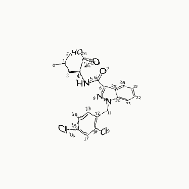 CC(C)C[C@H](NC(=O)c1nn(Cc2ccc(Cl)cc2Cl)c2ccccc12)C(=O)O